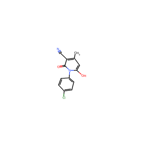 Cc1cc(O)n(-c2ccc(Cl)cc2)c(=O)c1C#N